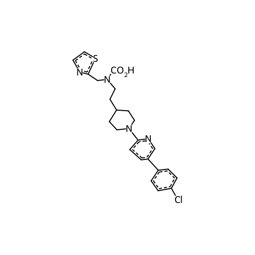 O=C(O)N(CCC1CCN(c2ccc(-c3ccc(Cl)cc3)cn2)CC1)Cc1nccs1